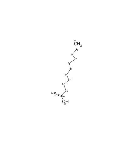 CCCCCCCCCCC(O)=S